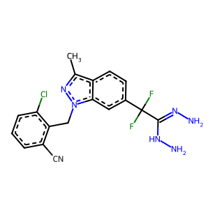 Cc1nn(Cc2c(Cl)cccc2C#N)c2cc(C(F)(F)/C(=N/N)NN)ccc12